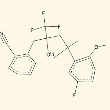 COc1ccc(F)cc1C(C)(C)CC(O)(Cc1ccccc1C#N)C(F)(F)F